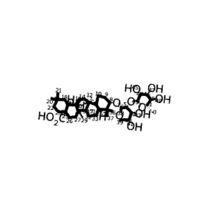 C[C@@H]1O[C@@H](O[C@H]2[C@H](O[C@H]3CC[C@]4(C)[C@H]5CC=C6[C@@H]7CC(C)(C)CC[C@]7(C(=O)O)CC[C@@]6(C)[C@]5(C)CC[C@H]4C3(C)C)OC[C@H](O)[C@@H]2O)[C@H](O)[C@H](O)[C@H]1O